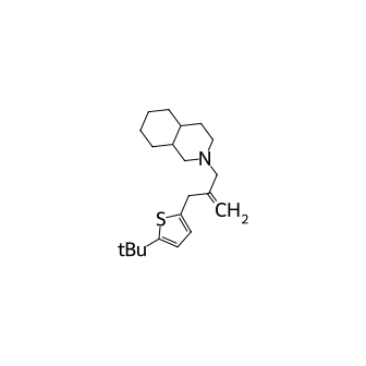 C=C(Cc1ccc(C(C)(C)C)s1)CN1CCC2CCCCC2C1